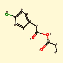 C[CH]C(=O)OC(=O)Cc1ccc(Cl)cc1